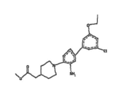 CCOc1cc(Cl)cc(-c2ccc(N3CCC(CC(=O)OC)CC3)c(N)c2)c1